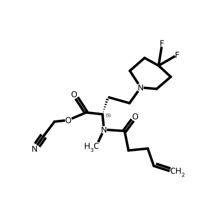 C=CCCC(=O)N(C)[C@@H](CCN1CCC(F)(F)CC1)C(=O)OCC#N